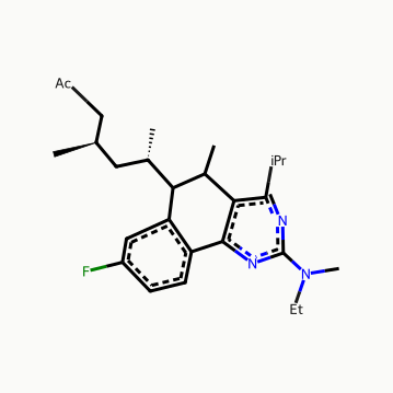 CCN(C)c1nc2c(c(C(C)C)n1)C(C)C([C@@H](C)C[C@@H](C)CC(C)=O)c1cc(F)ccc1-2